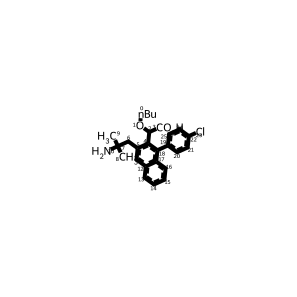 CCCCOC(C(=O)O)c1c(CC(C)(C)N)cc2ccccc2c1-c1ccc(Cl)cc1